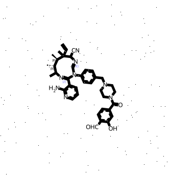 C=CC1(C)C(C#N)/N=C/N(c2ccc(CN3CCN(C(=O)c4ccc(C=O)c(O)c4)CC3)cc2)/C(c2cccnc2N)=N\C(C)[C@H](C)[C@H]1C